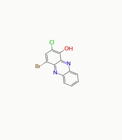 Oc1c(Cl)cc(Br)c2nc3ccccc3nc12